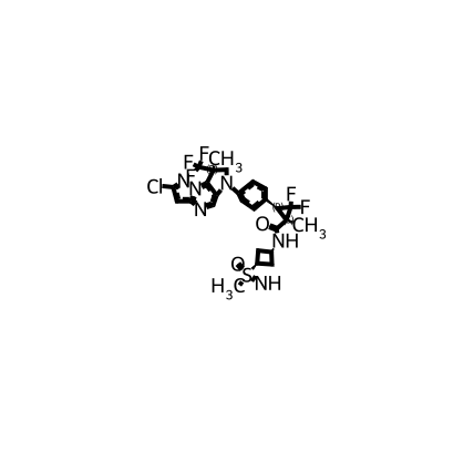 C[C@@]1(C(F)(F)F)CN(c2ccc([C@H]3C(F)(F)[C@]3(C)C(=O)N[C@H]3C[C@H](S(C)(=N)=O)C3)cc2)c2cnc3cc(Cl)nn3c21